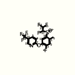 Cc1cc(F)c(Oc2ccc(C(F)(F)F)cn2)cc1[S+]([O-])C(F)C(F)F